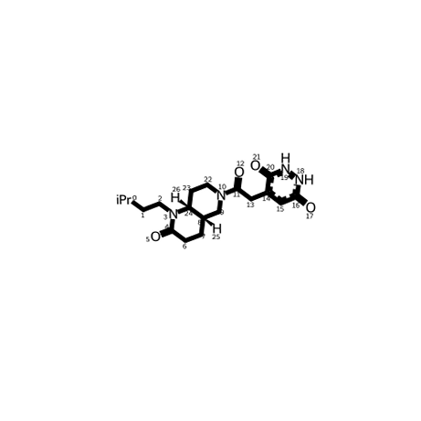 CC(C)CCN1C(=O)CC[C@H]2CN(C(=O)Cc3cc(=O)[nH][nH]c3=O)CC[C@H]21